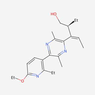 C/C=C(\c1nc(C)c(-c2ccc(OCC)nc2CC)nc1C)[C@H](CC)CO